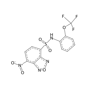 O=[N+]([O-])c1ccc(S(=O)(=O)Nc2ccccc2OC(F)(F)F)c2nonc12